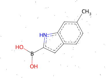 Cc1ccc2cc(B(O)O)[nH]c2c1